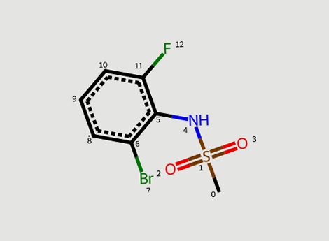 CS(=O)(=O)Nc1c(Br)[c]ccc1F